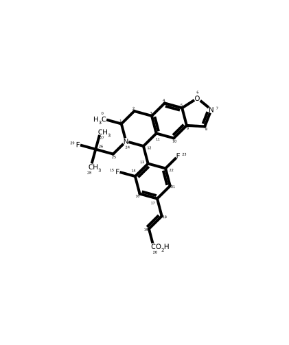 CC1Cc2cc3oncc3cc2C(c2c(F)cc(/C=C/C(=O)O)cc2F)N1CC(C)(C)F